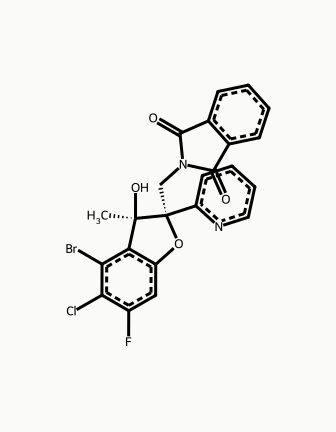 C[C@@]1(O)c2c(cc(F)c(Cl)c2Br)O[C@]1(CN1C(=O)c2ccccc2C1=O)c1ccccn1